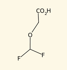 O=C(O)COC(F)F